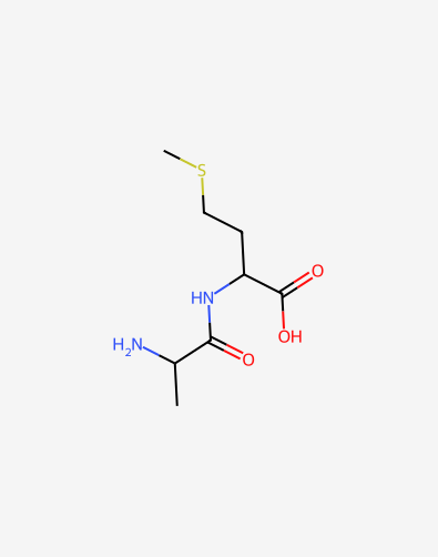 CSCCC(NC(=O)C(C)N)C(=O)O